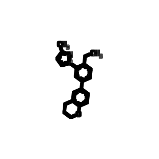 CCc1ccc(-c2ccc3c(c2)CCCO3)cc1-n1ccc(C)n1